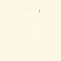 Cc1ccc(/C=N/c2cccc(S[Si](C)(C)C)c2)cc1